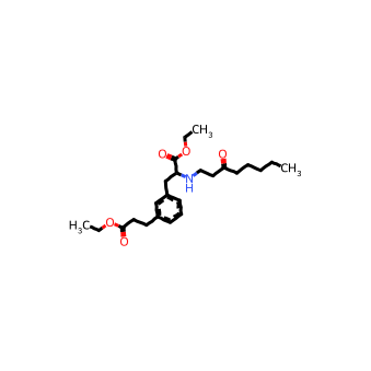 CCCCCC(=O)CCNC(Cc1cccc(CCC(=O)OCC)c1)C(=O)OCC